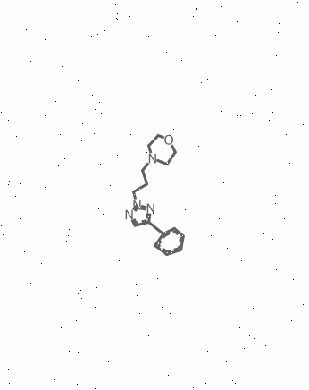 c1ccc(-c2cnn(CCCN3CCOCC3)n2)cc1